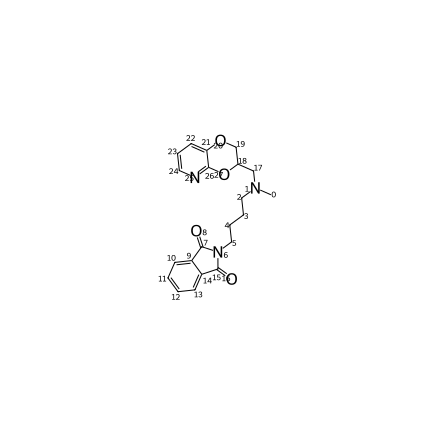 CN(CCCCN1C(=O)c2ccccc2C1=O)CC1COc2cccnc2O1